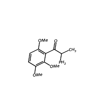 COc1ccc(OC)c(C(=O)C(C)P)c1OC